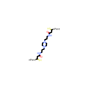 CCCCCC(S)CC(=O)NCCCN1CCN(CCCNC(=O)CC(S)CCCCC)CC1